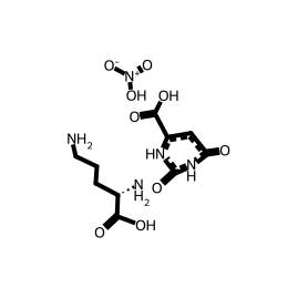 NCCC[C@H](N)C(=O)O.O=C(O)c1cc(=O)[nH]c(=O)[nH]1.O=[N+]([O-])O